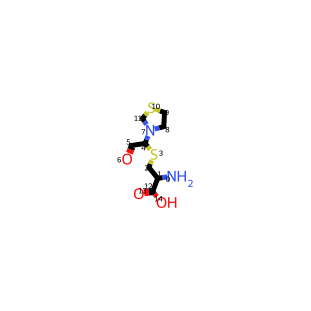 NC(CSC(C=O)N1CCSC1)C(=O)O